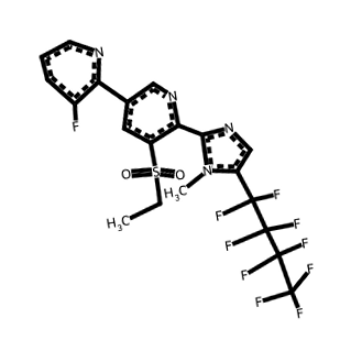 CCS(=O)(=O)c1cc(-c2ncccc2F)cnc1-c1ncc(C(F)(F)C(F)(F)C(F)(F)C(F)(F)F)n1C